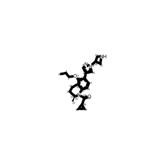 CCCOc1c(-c2cnn(C3CNC3)c2)ccc2c1CC[C@H](C)N2C(=O)C1CC1